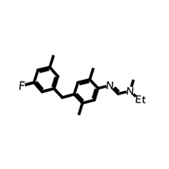 CCN(C)C=Nc1cc(C)c(Cc2cc(C)cc(F)c2)cc1C